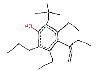 [C]=C(CC)c1c(CC)c(CCC)c(O)c(C(C)(C)C)c1CC